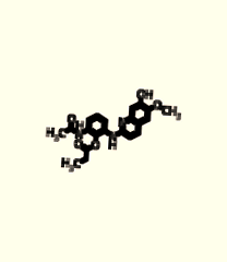 CCC(=O)Oc1c(NC(C)=O)cccc1Nc1ccc2cc(OC)c(O)cc2n1